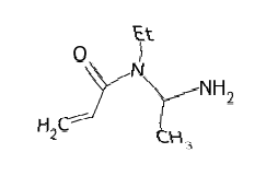 C=CC(=O)N(CC)C(C)N